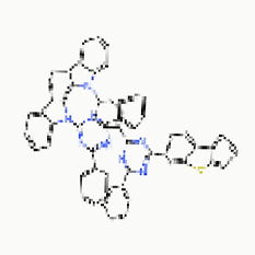 c1ccc(-c2nc(-c3ccc(-n4c5ccccc5c5ccc6c7ccccc7n(-c7nc(-c8ccccc8)nc(-c8ccccc8)n7)c6c54)cc3)nc(-c3ccc4c(c3)sc3ccccc34)n2)cc1